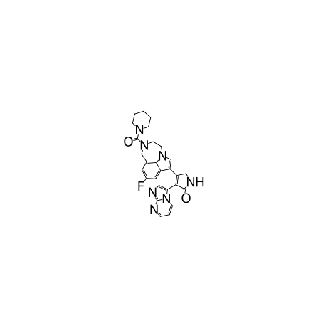 O=C1NCC(c2cn3c4c(cc(F)cc24)CN(C(=O)N2CCCCC2)CC3)=C1c1cnc2ncccn12